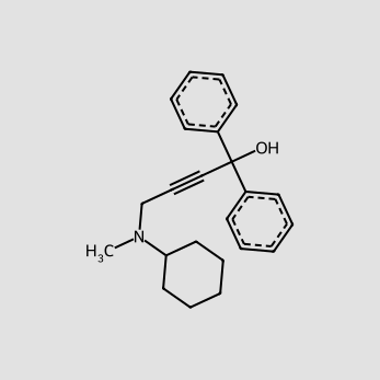 CN(CC#CC(O)(c1ccccc1)c1ccccc1)C1CCCCC1